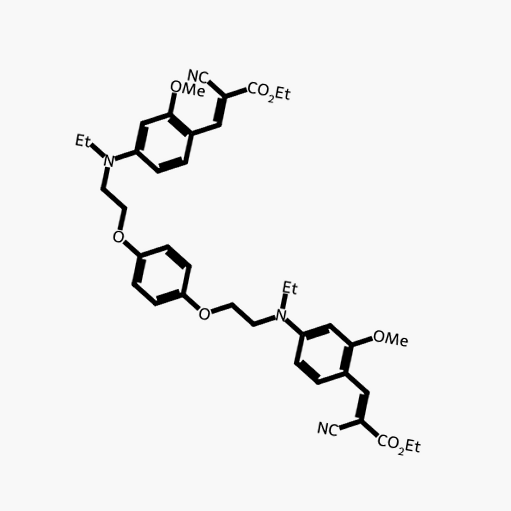 CCOC(=O)/C(C#N)=C/c1ccc(N(CC)CCOc2ccc(OCCN(CC)c3ccc(/C=C(\C#N)C(=O)OCC)c(OC)c3)cc2)cc1OC